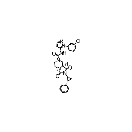 O=C(Nc1ccnn1-c1cccc(Cl)c1)N1CCN2C(=O)N([C@H]3C[C@@H]3c3ccccc3)C(=O)[C@@H]2C1